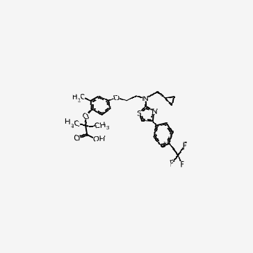 Cc1cc(OCCN(CC2CC2)c2nc(-c3ccc(C(F)(F)F)cc3)cs2)ccc1OC(C)(C)C(=O)O